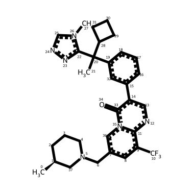 C[C@H]1CCCN(Cc2cc(C(F)(F)F)c3ncc(-c4cccc(C(C)(c5nncn5C)C5CCC5)c4)c(=O)n3c2)C1